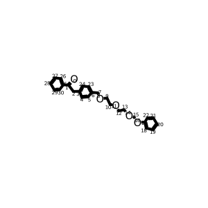 O=C(Cc1ccc(COCCOCCOCOc2ccccc2)cc1)c1ccccc1